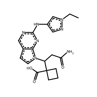 CCn1cc(Nc2ncc3ccn(C(CC(N)=O)C4(C(=O)O)CCC4)c3n2)cn1